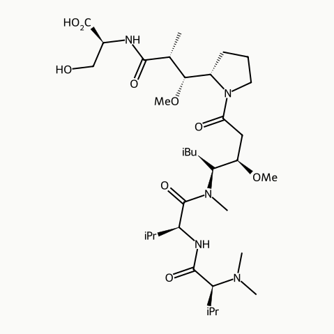 CC[C@H](C)[C@@H]([C@@H](CC(=O)N1CCC[C@H]1[C@H](OC)[C@@H](C)C(=O)N[C@@H](CO)C(=O)O)OC)N(C)C(=O)[C@@H](NC(=O)[C@H](C(C)C)N(C)C)C(C)C